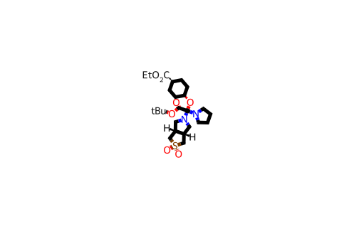 CCOC(=O)[C@H]1CC[C@H](OC(C(=O)OC(C)(C)C)(N2CCCC2)N2C[C@@H]3CS(=O)(=O)C[C@@H]3C2)CC1